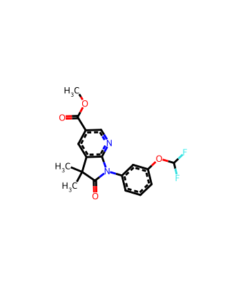 COC(=O)c1cnc2c(c1)C(C)(C)C(=O)N2c1cccc(OC(F)F)c1